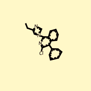 CCc1cn(-c2nc(Cl)c(-c3ccccc3)c3ccccc23)cn1